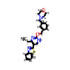 N#CCc1nc(OCc2cccc(CN3CCOCC3)c2)ncc1-c1nc2ccccc2s1